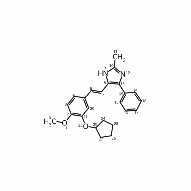 COc1ccc(C=Cc2[nH]c(C)nc2-c2ccccc2)cc1OC1CCCC1